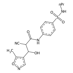 CCCNS(=O)(=O)c1ccc(NC(=O)C(C#N)C(O)c2cnoc2C)cc1